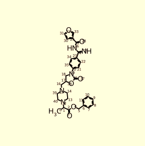 CC(C(=O)OCc1ccccc1)N1CCN(CC2CN(c3ccc(C(=N)NC(=O)c4ccoc4)cc3)C(=O)O2)CC1